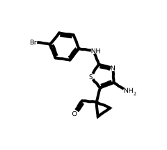 Nc1nc(Nc2ccc(Br)cc2)sc1C1(C=O)CC1